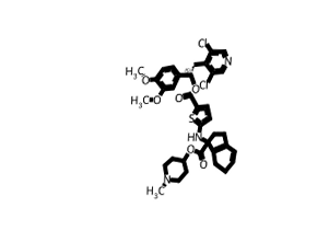 COc1ccc([C@H](Cc2c(Cl)cncc2Cl)OC(=O)c2ccc(NC3(C(=O)OC4CCN(C)CC4)CCC4=C3CCC=C4)s2)cc1OC